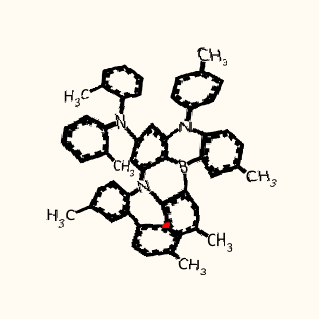 Cc1ccc(-c2cc(C)ccc2N2c3ccc(C)cc3B3c4cc(C)ccc4N(c4ccc(C)cc4)c4cc(N(c5ccccc5C)c5ccccc5C)cc2c43)cc1